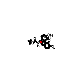 COc1ccc2c3c1O[C@H]1[C@H](O)C=CC(C=C2)[C@@]31CCNC(=O)OC(C)(C)C